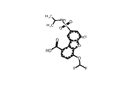 CC(C)NS(=O)(=O)c1ccc2oc3c(OC(F)F)ccc(C(=O)O)c3c2c1.Cl